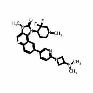 CN1CCC(n2c(=O)n(C)c3cnc4ccc(-c5ccc(N6CC(N(C)C)C6)nc5)cc4c32)C(F)(F)C1